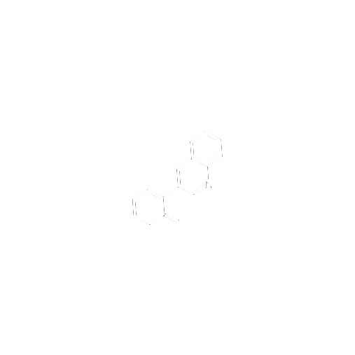 S=C1CC=CC=C1c1cnc2cc[c]cc2c1